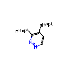 CCCCCCCc1ccnnc1CCCCCCC